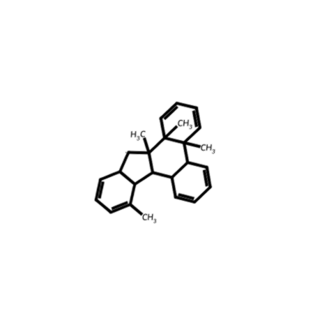 CC1=CC=CC2[CH]C3(C)C(C4C=CC=CC4C4(C)C=CC=CC34C)C12